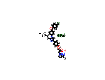 CCCCc1nc(-c2ccc(OC[C@@H](O)CNC)cc2)cn1-c1ccc(Oc2ccc(Cl)cc2)cc1.Cl.Cl